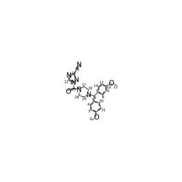 COc1ccc(C(c2ccc(OC)cc2)N2CCN(C(=O)n3cnc(C#N)n3)CC2)cc1